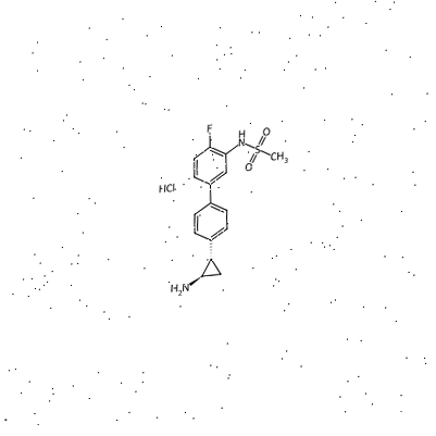 CS(=O)(=O)Nc1cc(-c2ccc([C@@H]3C[C@H]3N)cc2)ccc1F.Cl